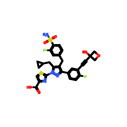 NS(=O)(=O)c1ccc(Cc2c(-c3ccc(F)c(C#CC4(O)COC4)c3)nn(-c3nc(C(=O)O)cs3)c2CC2CC2)cc1F